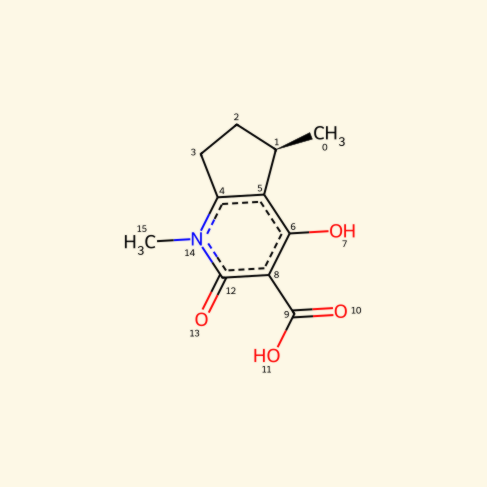 C[C@@H]1CCc2c1c(O)c(C(=O)O)c(=O)n2C